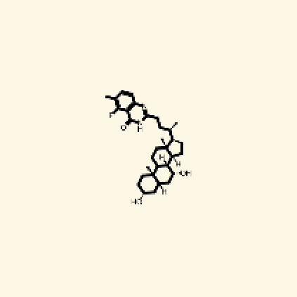 Cc1ccc2nc(CC[C@@H](C)[C@H]3CC[C@H]4[C@H]5C(CC[C@]34C)[C@@]3(C)CC[C@@H](O)C[C@H]3C[C@H]5O)[nH]c(=O)c2c1F